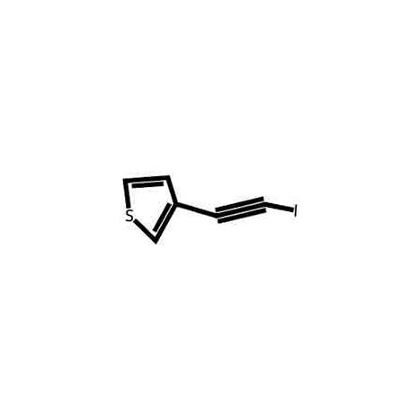 IC#Cc1ccsc1